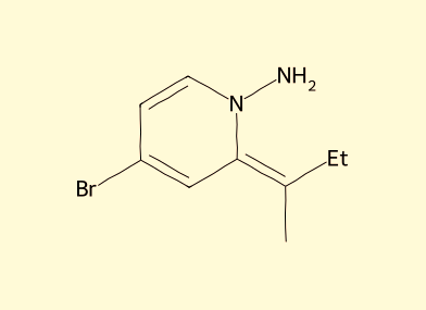 CC/C(C)=C1/C=C(Br)C=CN1N